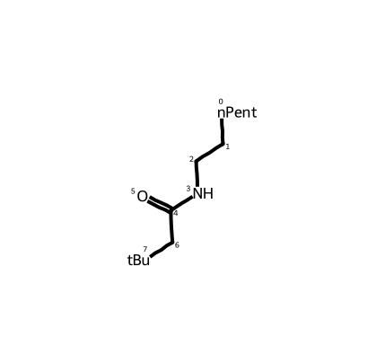 CCCCCCCNC(=O)CC(C)(C)C